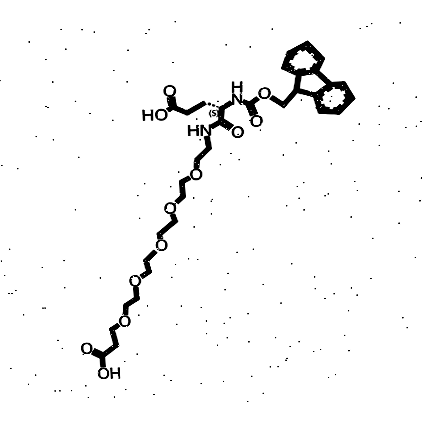 O=C(O)CCOCCOCCOCCOCCOCCNC(=O)[C@H](CCC(=O)O)NC(=O)OCC1c2ccccc2-c2ccccc21